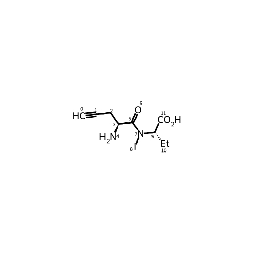 C#CC[C@H](N)C(=O)N(I)[C@@H](CC)C(=O)O